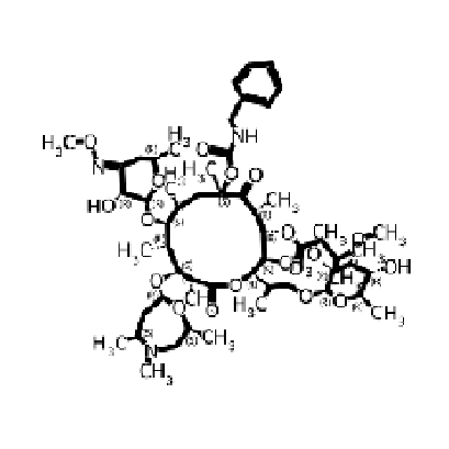 CON=C1C[C@@H](C)O[C@@H](O[C@@H]2[C@@H](C)[C@H](O[C@H]3C[C@H](C)N(C)C[C@H](C)O3)[C@@H](C)C(=O)O[C@H](C(C)CO[C@@H]3O[C@H](C)[C@@H](O)[C@@H](OC)[C@H]3OC)[C@H](C)[C@@H](OC(=O)CC(C)C)[C@@H](C)C(=O)[C@@](C)(OC(=O)NCc3ccccc3)C[C@@H]2C)[C@@H]1O